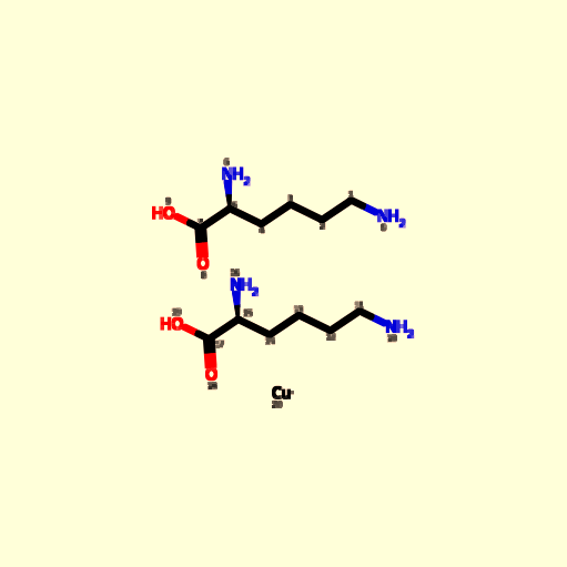 NCCCC[C@H](N)C(=O)O.NCCCC[C@H](N)C(=O)O.[Cu]